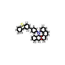 c1ccc2c(N(c3ccc(-c4ccc5sc6ccccc6c5c4)cc3)c3cccc4ccc5ccccc5c34)cccc2c1